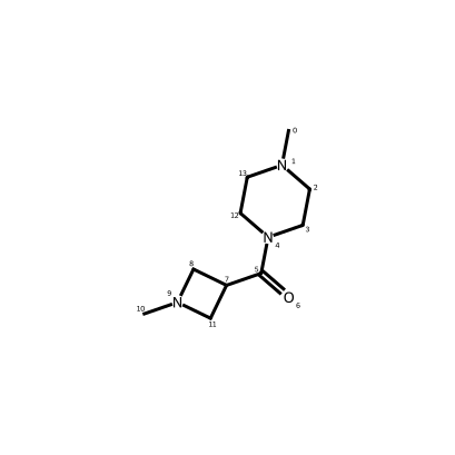 CN1CCN(C(=O)C2CN(C)C2)CC1